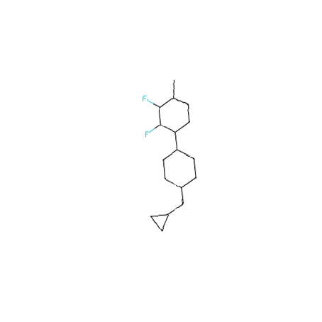 CC1CCC(C2CCC(CC3CC3)CC2)C(F)C1F